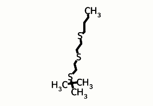 CCCCSCCSCCSC(C)(C)C